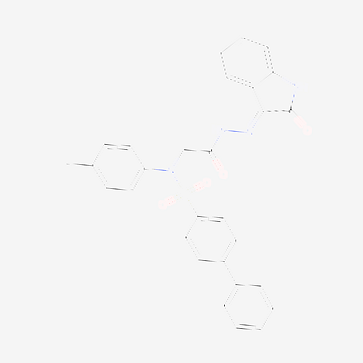 Cc1ccc(N(CC(=O)N/N=C2/C(=O)Nc3ccccc32)S(=O)(=O)c2ccc(-c3ccccc3)cc2)cc1